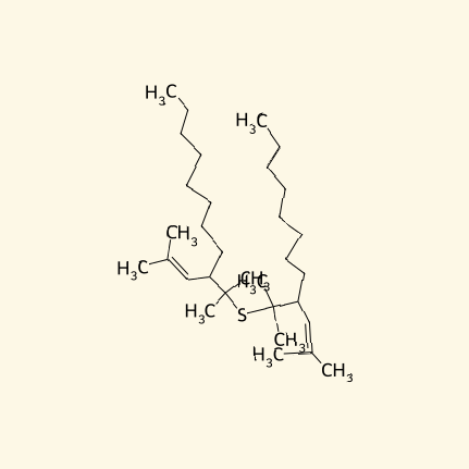 CCCCCCCCC(C=C(C)C)C(C)(C)SC(C)(C)C(C=C(C)C)CCCCCCCC